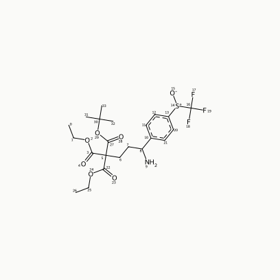 CCOC(=O)C(CCC(N)c1ccc([S+]([O-])C(F)(F)F)cc1)(C(=O)OCC)C(=O)OC(C)(C)C